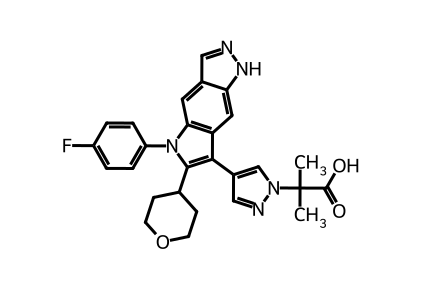 CC(C)(C(=O)O)n1cc(-c2c(C3CCOCC3)n(-c3ccc(F)cc3)c3cc4cn[nH]c4cc23)cn1